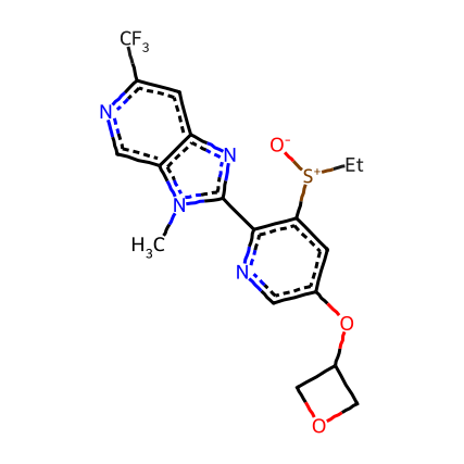 CC[S+]([O-])c1cc(OC2COC2)cnc1-c1nc2cc(C(F)(F)F)ncc2n1C